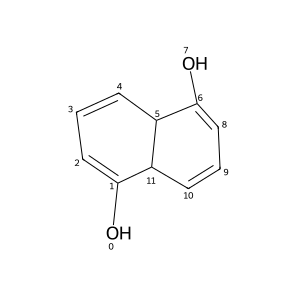 OC1=CC=CC2C(O)=CC=CC12